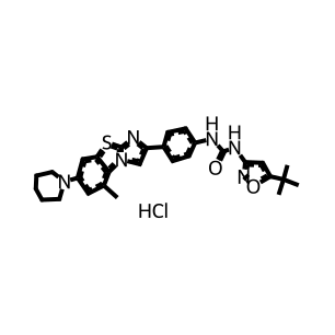 Cc1cc(N2CCCCC2)cc2sc3nc(-c4ccc(NC(=O)Nc5cc(C(C)(C)C)on5)cc4)cn3c12.Cl